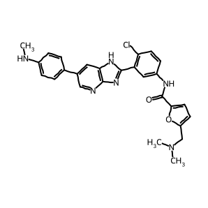 CNc1ccc(-c2cnc3nc(-c4cc(NC(=O)c5ccc(CN(C)C)o5)ccc4Cl)[nH]c3c2)cc1